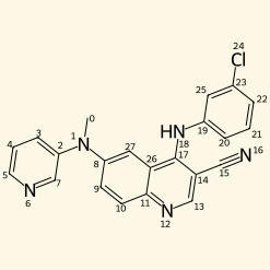 CN(c1cccnc1)c1ccc2ncc(C#N)c(Nc3cccc(Cl)c3)c2c1